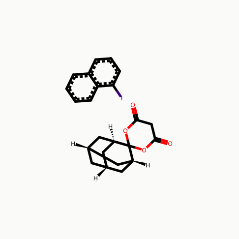 Ic1cccc2ccccc12.O=C1CC(=O)OC2(O1)[C@H]1C[C@H]3C[C@H](C1)C[C@H]2C3